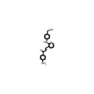 Nc1ccc(C(=O)/C=C/c2cccnc2Nc2ccc(CO)cc2)cc1